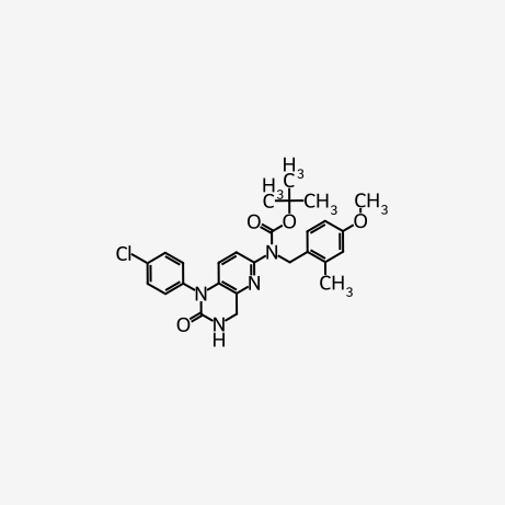 COc1ccc(CN(C(=O)OC(C)(C)C)c2ccc3c(n2)CNC(=O)N3c2ccc(Cl)cc2)c(C)c1